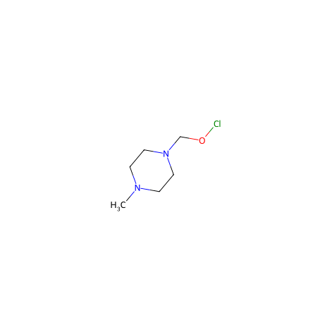 CN1CCN(COCl)CC1